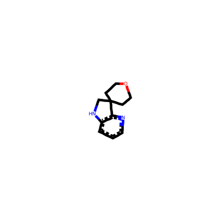 c1cnc2c(c1)NCC21CCOCC1